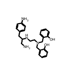 NCC(Cc1ccc(N)cc1)NCCN(Cc1ccccc1O)Cc1ccccc1O